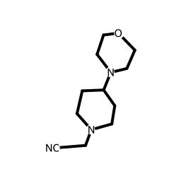 N#CCN1CCC(N2CCOCC2)CC1